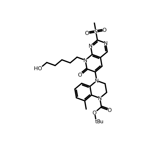 Cc1cccc2c1N(C(=O)OC(C)(C)C)CCN2c1cc2cnc(S(C)(=O)=O)nc2n(CCCCCO)c1=O